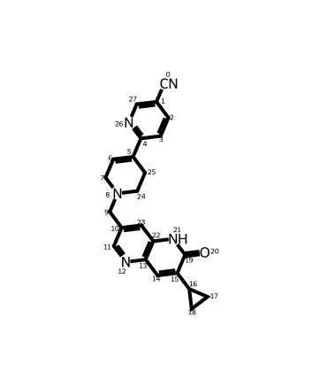 N#Cc1ccc(C2=CCN(Cc3cnc4cc(C5CC5)c(=O)[nH]c4c3)CC2)nc1